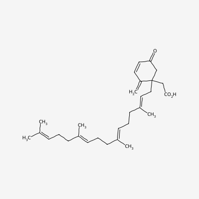 C=C1C=CC(=O)CC1(C/C=C(\C)CC/C=C(\C)CC/C=C(\C)CCC=C(C)C)CC(=O)O